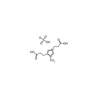 Cn1c[n+](CCC(=O)O)cc1CCC(=O)O.O=S(=O)([O-])O